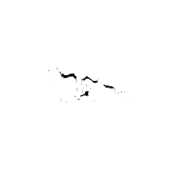 N=C(N)N.NCCNCCNCCN